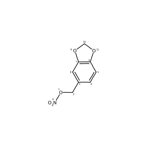 O=[N+]([O-])OCc1ccc2c(c1)OCO2